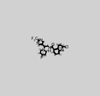 O=C(NCC(c1cnc(C(F)(F)F)nc1)N1CCC(F)CC1)c1cccc2nc(Cl)ccc12